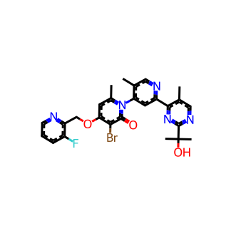 Cc1cnc(-c2nc(C(C)(C)O)ncc2C)cc1-n1c(C)cc(OCc2ncccc2F)c(Br)c1=O